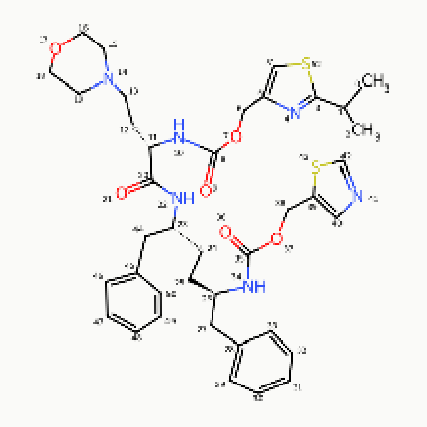 CC(C)c1nc(COC(=O)N[C@@H](CCN2CCOCC2)C(=O)N[C@H](CC[C@H](Cc2ccccc2)NC(=O)OCc2cncs2)Cc2ccccc2)cs1